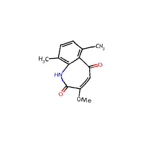 COc1cc(=O)c2c(C)ccc(C)c2[nH]c1=O